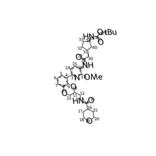 COc1nc(-c2cccc3c2OC(CNC(=O)C2CCOCC2)CO3)ccc1NC(=O)C[C@H]1CC[C@@H](NC(=O)OC(C)(C)C)C1